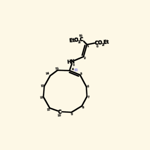 CCOC(=O)C(=CN/C1=C/CCCCCCCCCC1)C(=O)OCC